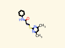 Cc1cc(C)nc(S/C=C/C(=O)Nc2ccccc2)n1